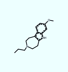 CCCN1CCc2[nH]c3cc(OC)ccc3c2CC1